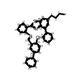 CCCCc1cc(-c2ccccc2)c2nc(-c3ccccc3/N=C/c3cc(-c4ccccc4)ccc3O)sc2c1